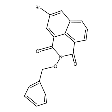 O=C1c2cccc3cc(Br)cc(c23)C(=O)N1OCc1ccccc1